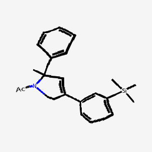 CC(=O)N1CC(c2cccc([Si](C)(C)C)c2)=CC1(C)c1ccccc1